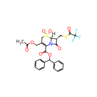 CC(=O)OCC1=C(C(=O)OC(c2ccccc2)c2ccccc2)N2C(=O)[C@H](CSC(=O)C(F)(F)F)[C@H]2S(=O)(=O)C1